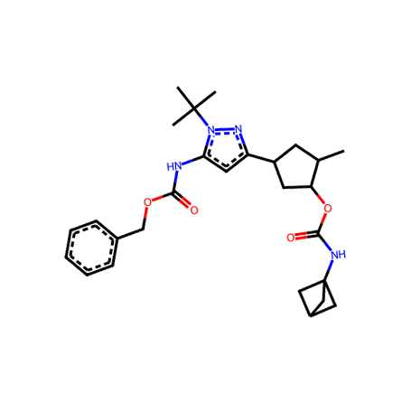 CC1CC(c2cc(NC(=O)OCc3ccccc3)n(C(C)(C)C)n2)CC1OC(=O)NC12CC(C1)C2